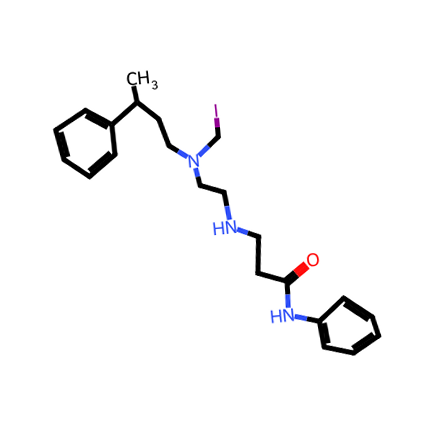 CC(CCN(CI)CCNCCC(=O)Nc1ccccc1)c1ccccc1